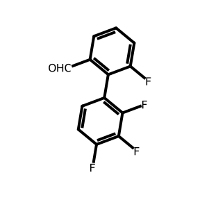 O=Cc1cccc(F)c1-c1ccc(F)c(F)c1F